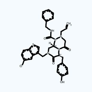 C=CCN1CC(=O)N2[C@@H](Cc3ccc(O)cc3)C(=O)N(Cc3csc4ccc(Cl)cc34)C[C@@H]2N1C(=O)NCc1ccccc1